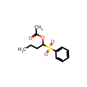 CCCC(OC(C)=O)S(=O)(=O)c1ccccc1